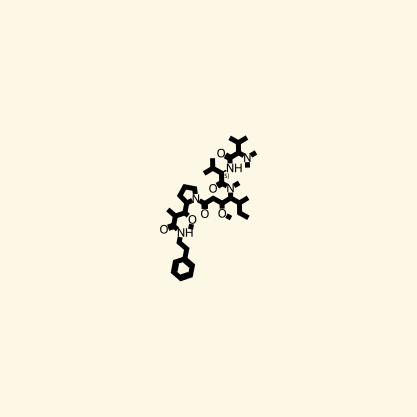 CCC(C)C(C(CC(=O)N1CCCC1C(OC)C(C)C(=O)NCCc1ccccc1)OC)N(C)C(=O)[C@@H](NC(=O)C(C(C)C)N(C)C)C(C)C